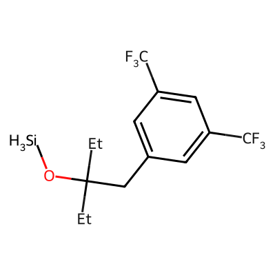 CCC(CC)(Cc1cc(C(F)(F)F)cc(C(F)(F)F)c1)O[SiH3]